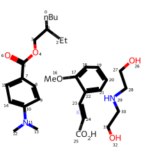 CCCCC(CC)COC(=O)c1ccc(N(C)C)cc1.COc1ccccc1/C=C/C(=O)O.OCCNCCO